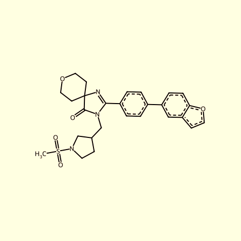 CS(=O)(=O)N1CCC(CN2C(=O)C3(CCOCC3)N=C2c2ccc(-c3ccc4occc4c3)cc2)C1